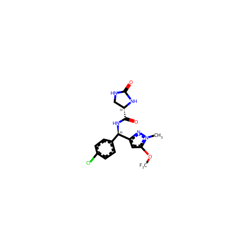 Cn1nc([C@H](NC(=O)[C@@H]2CNC(=O)N2)c2ccc(Cl)cc2)cc1OC(F)(F)F